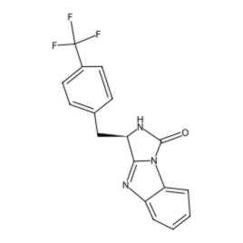 O=C1N[C@H](Cc2ccc(C(F)(F)F)cc2)c2nc3ccccc3n21